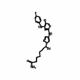 NC(=O)CCCCCCC(O)n1cc(Nc2ncc(Cl)c(Nc3ccc(F)cc3)n2)cn1